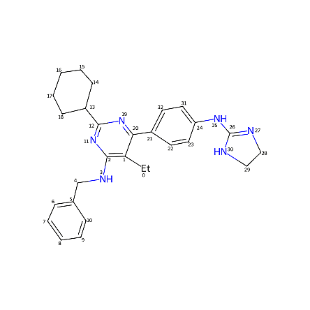 CCc1c(NCc2ccccc2)nc(C2CCCCC2)nc1-c1ccc(NC2=NCCN2)cc1